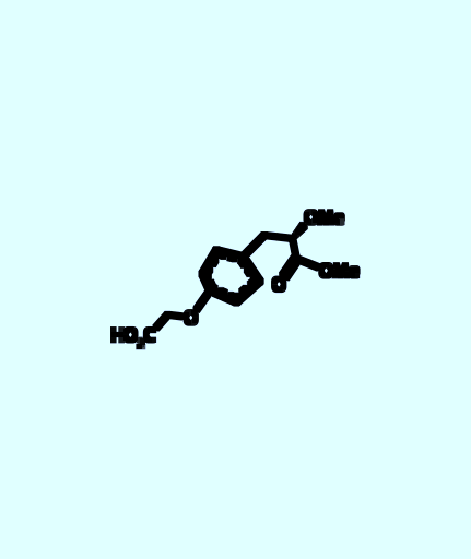 COC(=O)[C@@H](Cc1ccc(OCC(=O)O)cc1)OC